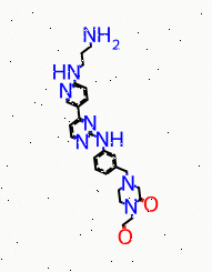 NCCCNc1ccc(-c2ccnc(Nc3cccc(CN4CCN(CC=O)C(=O)C4)c3)n2)cn1